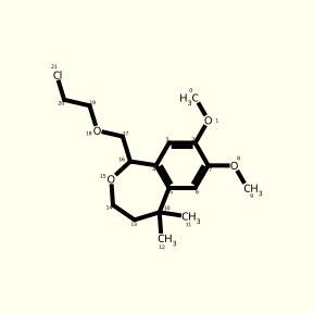 COc1cc2c(cc1OC)C(C)(C)CCOC2COCCCl